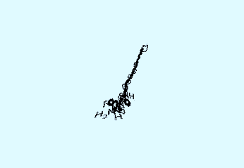 Nc1nc2c(nc(C(=O)N3CCCCC3C(=O)NCCOCCOCCOCCOCCOCCCCCCCl)n2Cc2ccc(F)cc2)c(=O)[nH]1